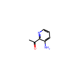 CC(=O)c1ncccc1N